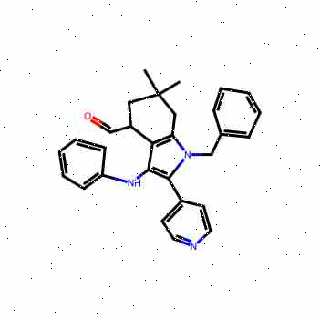 CC1(C)Cc2c(c(Nc3ccccc3)c(-c3ccncc3)n2Cc2ccccc2)C(C=O)C1